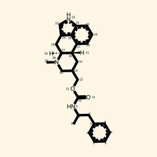 CC(Cc1ccccc1)NC(=O)OCC1C[C@H]2c3cccc4[nH]cc(c34)C[C@@H]2N(C)C1